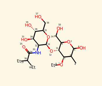 CCO[C@@H]1C(C)C(O)OC(CO)[C@H]1O[C@@H]1OC(CO)[C@@H](O)[C@H](O)C1NC(=O)C(CC)CC